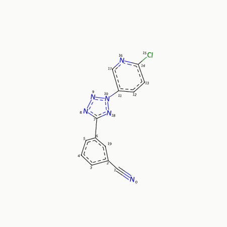 N#Cc1cccc(-c2nnn(-c3ccc(Cl)nc3)n2)c1